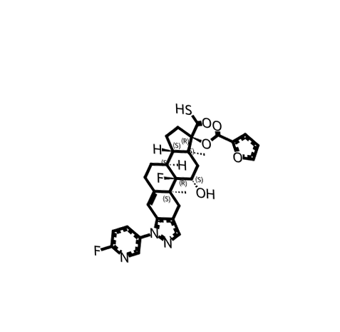 C[C@]12Cc3cnn(-c4ccc(F)nc4)c3C=C1CC[C@H]1[C@@H]3CC[C@](OC(=O)c4ccco4)(C(=O)S)[C@@]3(C)C[C@H](O)[C@@]12F